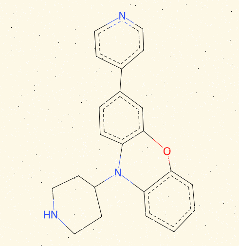 c1ccc2c(c1)Oc1cc(-c3ccncc3)ccc1N2C1CCNCC1